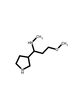 CNC(CCOC)C1CCNC1